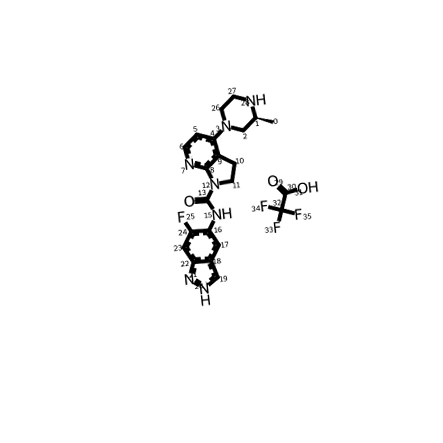 C[C@H]1CN(c2ccnc3c2CCN3C(=O)Nc2cc3c[nH]nc3cc2F)CCN1.O=C(O)C(F)(F)F